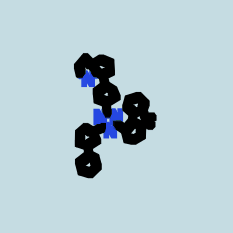 CC1(C)c2ccccc2-c2c(-c3nc(-c4ccc(-c5cccc6cccnc56)cc4)nc(-c4cccc(-c5ccccc5)c4)n3)cccc21